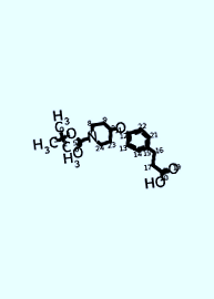 CC(C)(C)OC(=O)N1CCC(Oc2ccc(CCC(=O)O)cc2)CC1